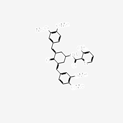 COc1ccc(/C=C2\CC(NC(=O)c3ncccc3C)C/C(=C\c3ccc(OC)c(OC)c3)C2=O)cc1OC